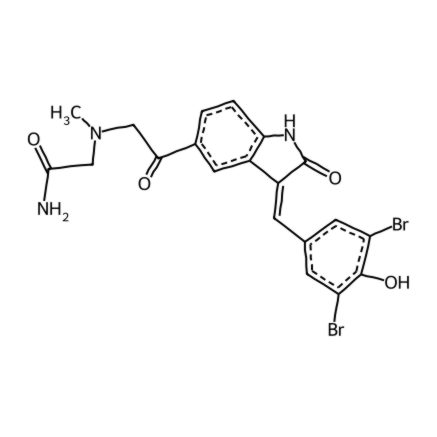 CN(CC(N)=O)CC(=O)c1ccc2c(c1)C(=Cc1cc(Br)c(O)c(Br)c1)C(=O)N2